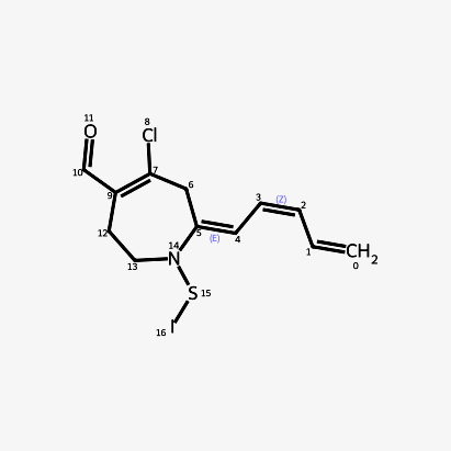 C=C/C=C\C=C1/CC(Cl)=C(C=O)CCN1SI